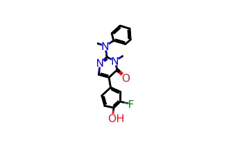 CN(c1ccccc1)c1ncc(-c2ccc(O)c(F)c2)c(=O)n1C